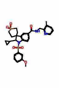 COc1cccc(S(=O)(=O)N2c3ccc(C(=O)NCc4ncccc4C)cc3C3(CCS(=O)(=O)CC3)C2C2CC2)c1